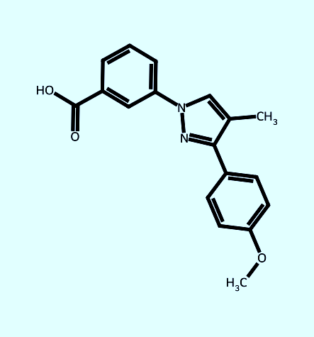 COc1ccc(-c2nn(-c3cccc(C(=O)O)c3)cc2C)cc1